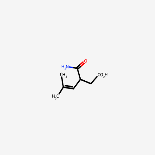 CC(C)=CC(CC(=O)O)C(N)=O